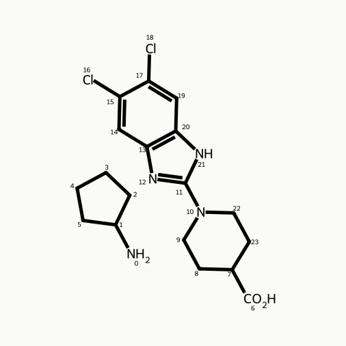 NC1CCCC1.O=C(O)C1CCN(c2nc3cc(Cl)c(Cl)cc3[nH]2)CC1